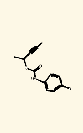 CC(C#CI)OC(=O)Nc1ccc(Cl)cc1